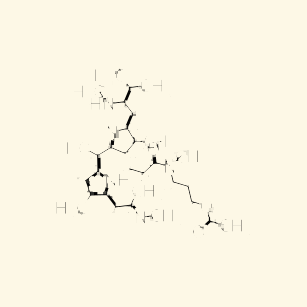 C/N=C(C)/C=c1\[nH]/c(=C(/C)C2=N/C(=C\C(NC)=C(C)C)[C@@H](C)[C@@H]2CCC(=O)N(C)CCCOC(C)=O)cc1C